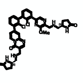 COc1nc(-c2cccc(-c3cccc(-c4ccn5c(=O)c(CNC[C@@H]6CCC(=O)N6)cnc5c4)c3Cl)c2Cl)cnc1CNC[C@H]1CCC(=O)N1